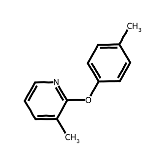 Cc1ccc(Oc2ncccc2C)cc1